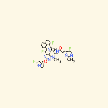 C#Cc1c(F)ccc2cccc(-c3ncc4c(N(C)[C@@H]5CCN(C(=O)/C=C/c6nc(C)ncc6F)C5)nc(OC[C@@]56CCCN5C[C@H](F)C6)nc4c3F)c12